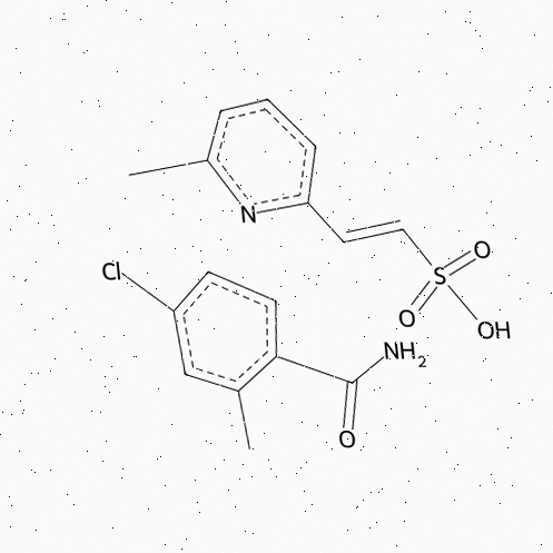 Cc1cc(Cl)ccc1C(N)=O.Cc1cccc(/C=C/S(=O)(=O)O)n1